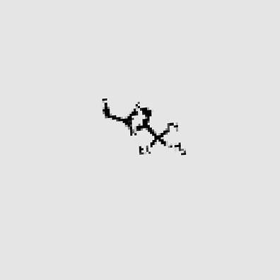 CCC(P)(CC)c1csc(C=S)n1